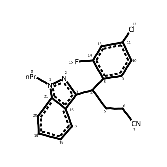 CCCn1nc(C(CCC#N)c2ccc(Cl)cc2F)c2ccccc21